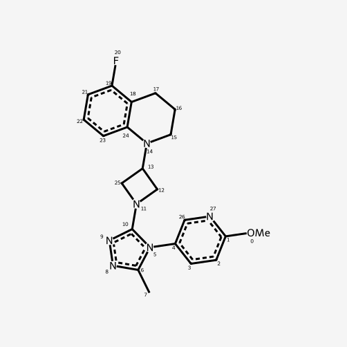 COc1ccc(-n2c(C)nnc2N2CC(N3CCCc4c(F)cccc43)C2)cn1